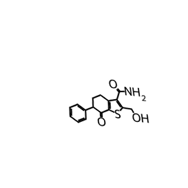 NC(=O)c1c(CO)sc2c1CCC(c1ccccc1)C2=O